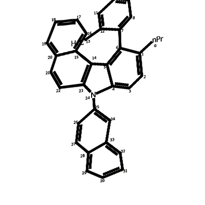 CCCc1ccc2c(c1-c1ccccc1C)c1c3ccccc3ccc1n2-c1ccc2ccccc2c1